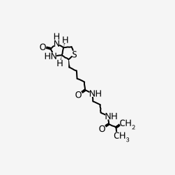 C=C(C)C(=O)NCCCNC(=O)CCCC[C@@H]1SC[C@@H]2NC(=O)N[C@@H]21